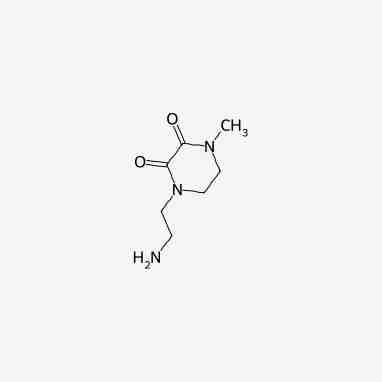 CN1CCN(CCN)C(=O)C1=O